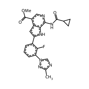 COC(=O)c1cnc(NC(=O)C2CC2)c2[nH]c(-c3cccc(-n4cnc(C)n4)c3F)cc12